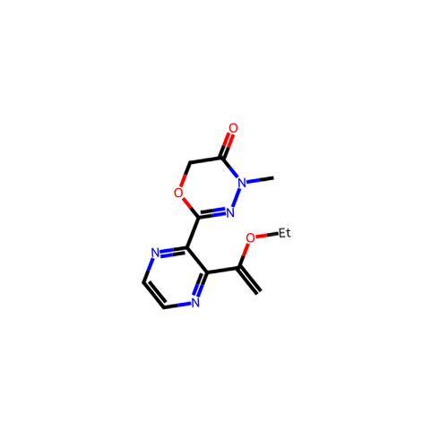 C=C(OCC)c1nccnc1C1=NN(C)C(=O)CO1